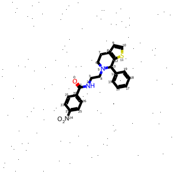 O=C(NCCN1CCc2ccsc2C1c1ccccc1)c1ccc([N+](=O)[O-])cc1